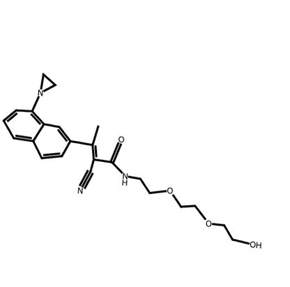 C/C(=C(/C#N)C(=O)NCCOCCOCCO)c1ccc2cccc(N3CC3)c2c1